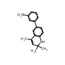 CC1=CC(C)(C)Nc2ccc(-c3cccc([N+](=O)[O-])c3)cc21